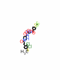 CSc1ccc(C=CC(=O)N2CCC(C(=O)NC(CNC(=O)c3ccc(SC(F)(F)F)cc3)C(=O)O)CC2)c(Cl)c1Cl